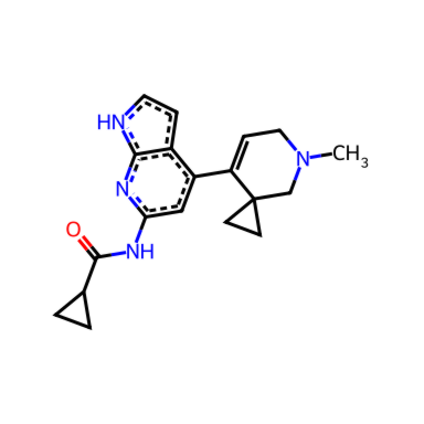 CN1CC=C(c2cc(NC(=O)C3CC3)nc3[nH]ccc23)C2(CC2)C1